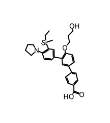 CC[Si](C)(C)c1cc(-c2cc(-c3ccc(C(=O)O)cc3)ccc2OCCCO)ccc1N1CCCC1